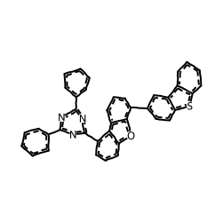 c1ccc(-c2nc(-c3ccccc3)nc(-c3cccc4oc5c(-c6ccc7sc8ccccc8c7c6)cccc5c34)n2)cc1